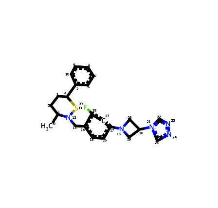 CC1CCC(c2ccccc2)SN1Cc1ccc(N2CC(n3cnnc3)C2)cc1F